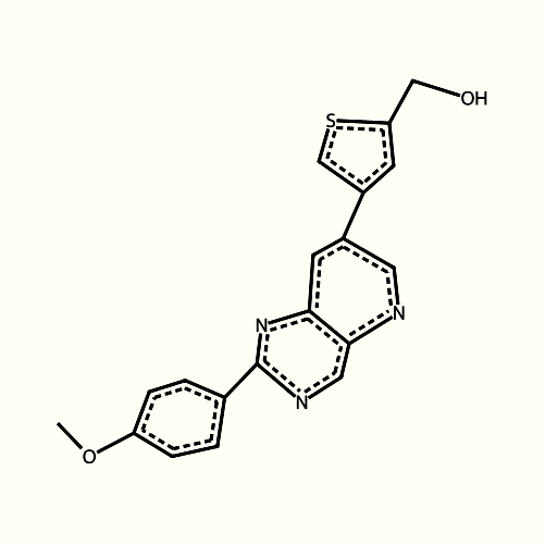 COc1ccc(-c2ncc3ncc(-c4csc(CO)c4)cc3n2)cc1